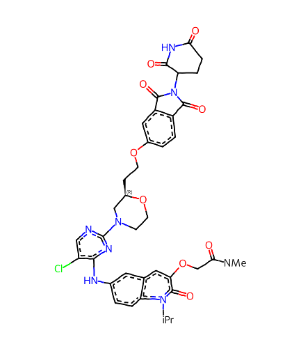 CNC(=O)COc1cc2cc(Nc3nc(N4CCO[C@H](CCOc5ccc6c(c5)C(=O)N(C5CCC(=O)NC5=O)C6=O)C4)ncc3Cl)ccc2n(C(C)C)c1=O